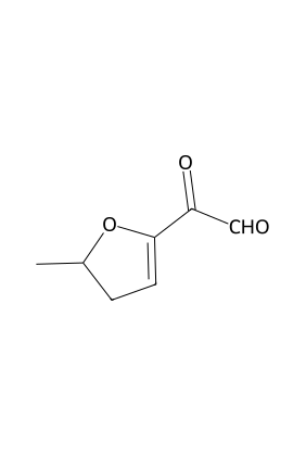 CC1CC=C(C(=O)C=O)O1